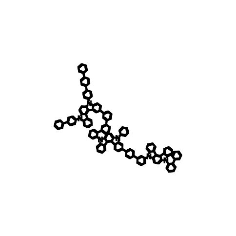 c1ccc(-c2ccc(-c3ccc(-n4c5ccc(-c6cccc(-c7cccc(-c8ccccc8-n8c9ccccc9c9c%10c%11ccc(-c%12ccc(-c%13cccc(-n%14c%15ccccc%15c%15c%16c%17ccccc%17n(-c%17ccccc%17-c%17ccccc%17)c%16ccc%15%14)c%13)cc%12)cc%11n(-c%11ccccc%11)c%10ccc98)c7)c6)cc5c5c6c7ccccc7n(-c7ccc(-c8ccccc8)cc7)c6ccc54)cc3)cc2)cc1